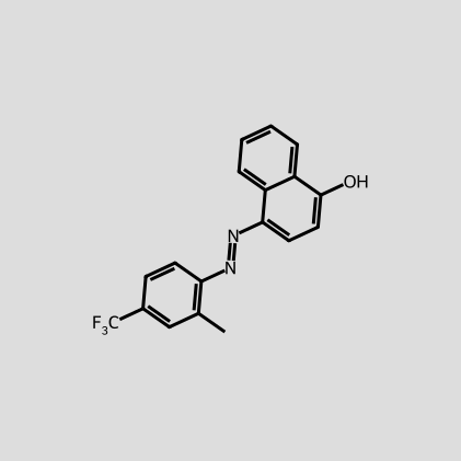 Cc1cc(C(F)(F)F)ccc1/N=N/c1ccc(O)c2ccccc12